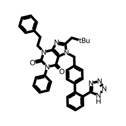 CC(C)(C)Cc1nc2c(c(=O)n(-c3ccccc3)c(=O)n2CCc2ccccc2)n1Cc1ccc(-c2ccccc2-c2nnn[nH]2)cc1